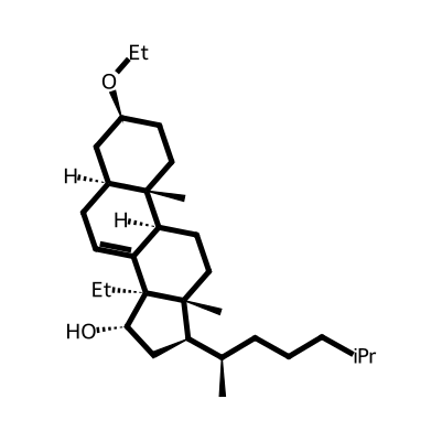 CCO[C@H]1CC[C@@]2(C)[C@@H](CC=C3[C@@H]2CC[C@]2(C)[C@@H]([C@H](C)CCCC(C)C)C[C@H](O)[C@@]32CC)C1